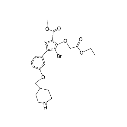 CCOC(=O)COc1c(C(=O)OC)sc(-c2cccc(OCC3CCNCC3)c2)c1Br